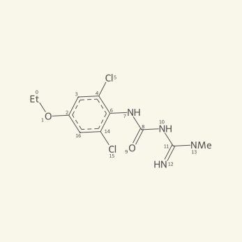 CCOc1cc(Cl)c(NC(=O)NC(=N)NC)c(Cl)c1